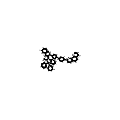 c1ccc(C2(c3ccccc3)c3ccccc3-c3c2ccc2c3c(-c3ccc(-c4ccc(-c5ccc6ccc7cccnc7c6n5)cc4)cc3)nc3ccccc32)cc1